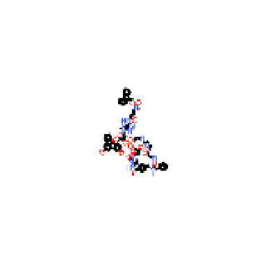 COc1ccc(C(OC[C@H]2O[C@@H](n3cnc4c(NC(=O)CCCN(C)C(=O)OCC5c6ccccc6-c6ccccc65)ncnc43)CC2OP(OCCC#N)OC[C@H]2O[C@@H](n3ccc(NC(=O)c4ccc(CNC(=O)Cc5ccccc5)cc4)nc3=O)CC2OP(OCCC#N)N(C(C)C)C(C)C)(c2ccccc2)c2ccc(OC)cc2)cc1